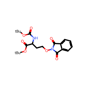 CC(C)(C)OC(=O)NC(CCON1C(=O)c2ccccc2C1=O)C(=O)OC(C)(C)C